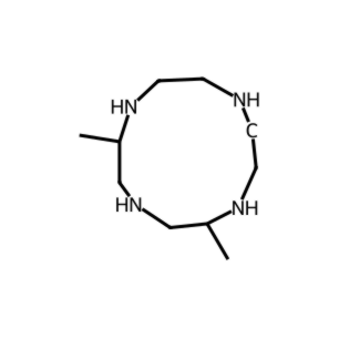 CC1CNCC(C)NCCNCCN1